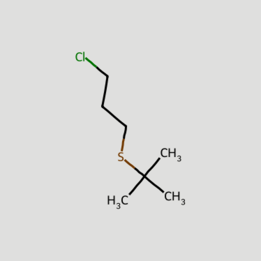 CC(C)(C)SCCCCl